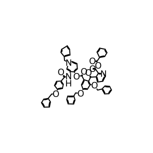 O=C(NC1=CN(Cc2ccccc2)C=CC=C1OC(=O)c1cc(OCc2ccccc2)cc(OCc2ccccc2)c1C(=O)c1cccnc1C(=O)OC(=O)c1ccccc1)c1ccc(OCc2ccccc2)cc1